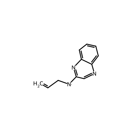 C=CC[N]c1cnc2ccccc2n1